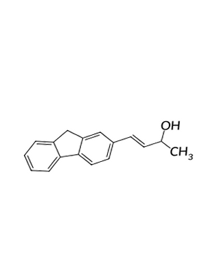 CC(O)/C=C/c1ccc2c(c1)Cc1ccccc1-2